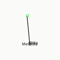 CO[Si](CCCCCCCCCCCCCCCCCCCCCCCCCCCCCCCCCCl)(OC)OC